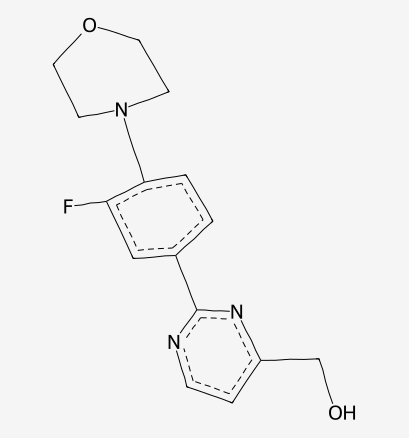 OCc1ccnc(-c2ccc(N3CCOCC3)c(F)c2)n1